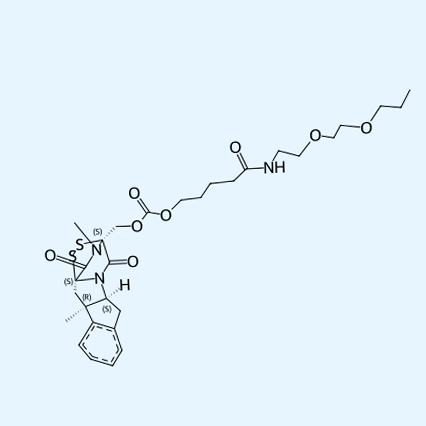 CCCOCCOCCNC(=O)CCCCOC(=O)OC[C@]12SS[C@@]3(C[C@]4(C)c5ccccc5C[C@@H]4N3C1=O)C(=O)N2C